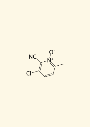 Cc1ccc(Cl)c(C#N)[n+]1[O-]